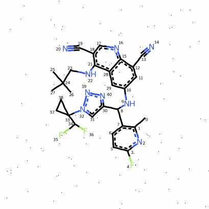 Cc1nc(F)ccc1C(Nc1cc(C#N)c2ncc(C#N)c(NCC(C)(C)C)c2c1)c1cn(C2(C(F)F)CC2)nn1